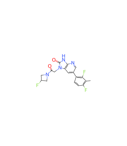 Cc1c(F)ccc(-c2cnc3[nH]c(=O)n(CC(=O)N4CC(F)C4)c3c2)c1F